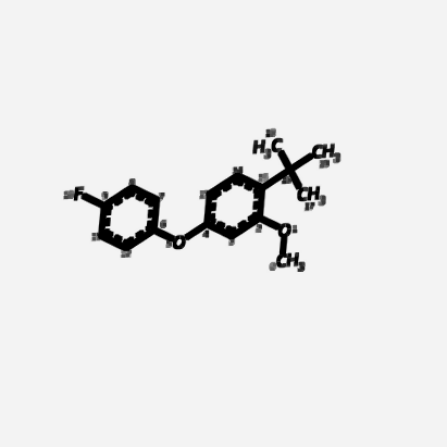 COc1cc(Oc2ccc(F)cc2)ccc1C(C)(C)C